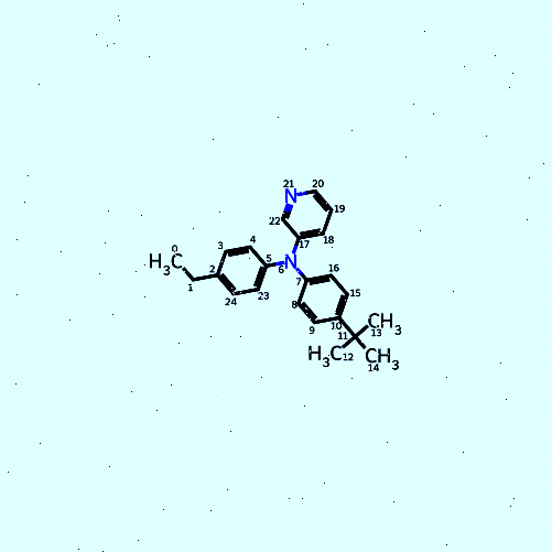 CCc1ccc(N(c2ccc(C(C)(C)C)cc2)c2cccnc2)cc1